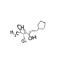 CC(C)C(CC(O)[CH]CC1CCCCC1)C1CO1